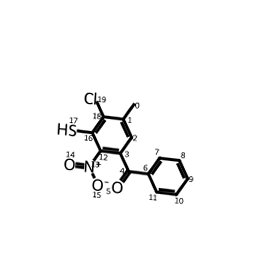 Cc1cc(C(=O)c2ccccc2)c([N+](=O)[O-])c(S)c1Cl